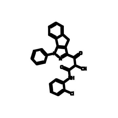 N#CC(C(=O)Nc1ccccc1Cl)C(=O)c1nn(-c2ccccc2)c2c1Cc1ccccc1-2